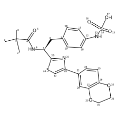 CC(C)(C)C(=O)N[C@@H](Cc1ccc(NS(=O)(=O)O)cc1)c1nc(-c2ccc3c(c2)OCCO3)cs1